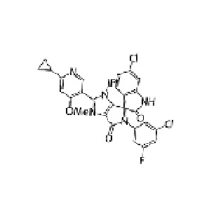 COc1cc(C2CC2)ncc1-c1nc2c(n1C(C)C)C1(C(=O)Nc3cc(Cl)ccc31)N(c1cc(F)cc(Cl)c1)C2=O